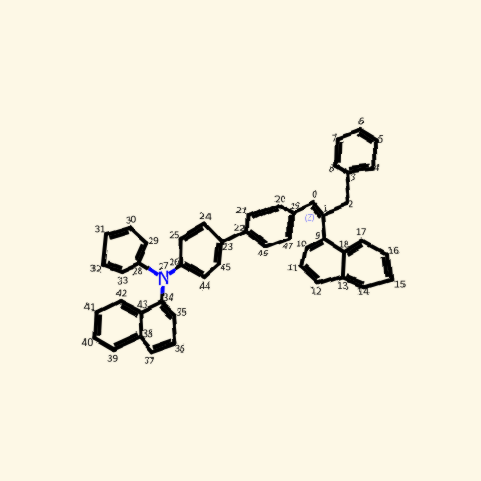 C(=C(\Cc1ccccc1)c1cccc2ccccc12)/c1ccc(-c2ccc(N(c3ccccc3)c3cccc4ccccc34)cc2)cc1